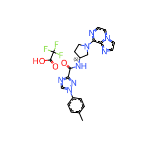 Cc1ccc(-n2cnc(C(=O)N[C@H]3CCN(c4nccn5ccnc45)C3)n2)cc1.O=C(O)C(F)(F)F